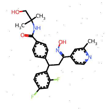 Cc1cc(C(CC(c2ccc(C(=O)NC(C)(C)CO)cc2)c2ccc(F)cc2F)=NO)ccn1